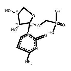 Nc1ccn([C@]2(OCP(=O)(O)O)OC[C@@H](O)[C@H]2O)c(=O)n1